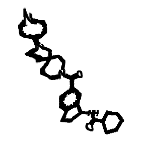 O=C(NC1CCc2ccc(C(=O)N3CCC4(CC3)CCN(c3ccncc3)C4)cc21)C1CCCCC1